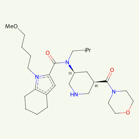 COCCCCn1c(C(=O)N(CC(C)C)[C@@H]2CNC[C@H](C(=O)N3CCOCC3)C2)cc2c1CCCC2